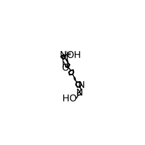 C[C@H](O)c1nccn1Cc1cc(-c2ccc(C#Cc3ccc(CN4CC(CO)C4)nc3)cc2)on1